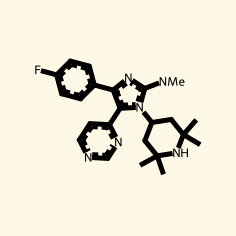 CNc1nc(-c2ccc(F)cc2)c(-c2ccncn2)n1C1CC(C)(C)NC(C)(C)C1